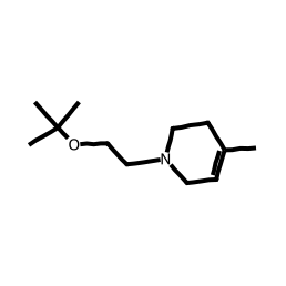 CC1=CCN(CCOC(C)(C)C)CC1